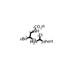 CCCCC(CC)CNC(=O)O.CCCCCC(N)CC